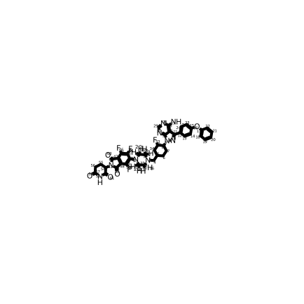 [2H]C1([2H])N(CC2CCC(n3nc(-c4ccc(Oc5ccccc5)cc4)c4c(N)ncnc43)C(F)C2)C([2H])([2H])C([2H])([2H])N(c2c(F)c(F)c3c(c2F)C(=O)N(C2CCC(=O)NC2=O)C3=O)C1([2H])[2H]